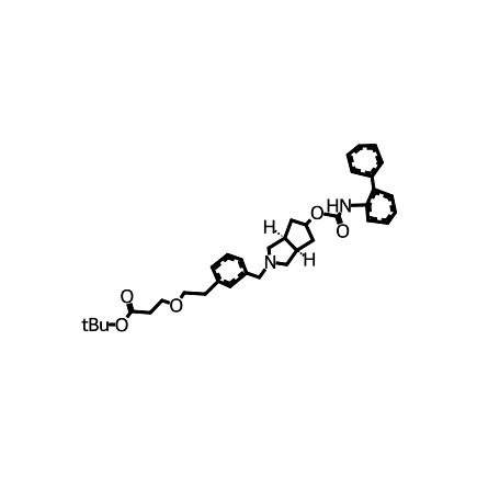 CC(C)(C)OC(=O)CCOCCc1cccc(CN2C[C@H]3CC(OC(=O)Nc4ccccc4-c4ccccc4)C[C@H]3C2)c1